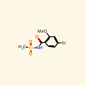 COc1cc(Br)ccc1C(=O)NS(C)(=O)=O